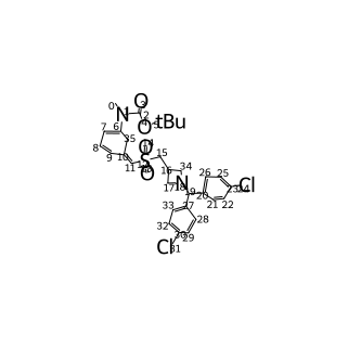 CN(C(=O)OC(C)(C)C)C1=CC=CC(=CS(=O)(=O)CC2CN(C(c3ccc(Cl)cc3)c3ccc(Cl)cc3)C2)C1